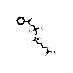 CC(=O)NCCCS(=O)(=O)OCC(C)(C)COC(=O)c1ccccc1